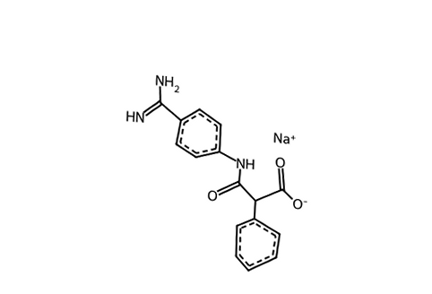 N=C(N)c1ccc(NC(=O)C(C(=O)[O-])c2ccccc2)cc1.[Na+]